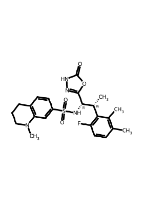 Cc1ccc(F)c([C@@H](C)[C@H](NS(=O)(=O)c2ccc3c(c2)N(C)CCC3)c2n[nH]c(=O)o2)c1C